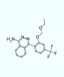 CCOCOc1cc(C(F)(F)F)ccc1-c1nnc(N)c2ccccc12